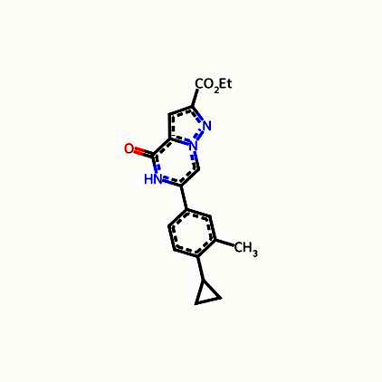 CCOC(=O)c1cc2c(=O)[nH]c(-c3ccc(C4CC4)c(C)c3)cn2n1